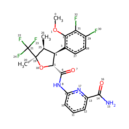 COc1c([C@H]2[C@H](C(=O)Nc3cccc(C(N)=O)n3)O[C@@](C)(C(F)(F)F)[C@H]2C)ccc(F)c1F